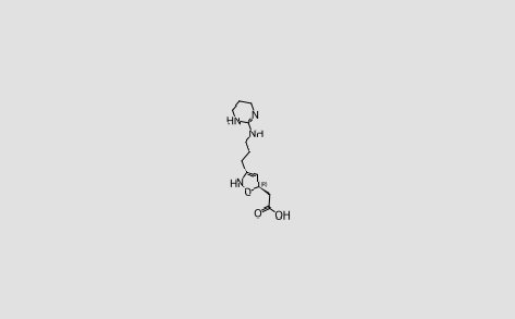 O=C(O)C[C@@H]1C=C(CCCNC2=NCCCN2)NO1